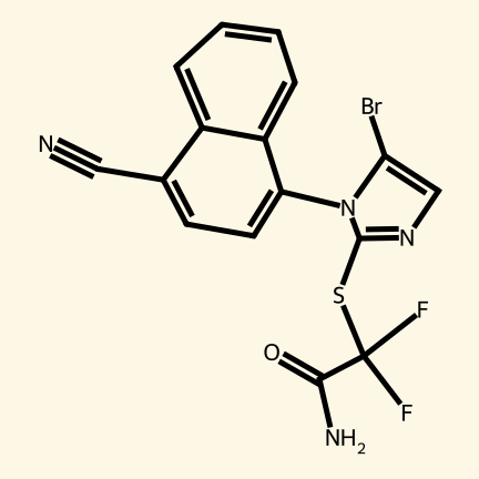 N#Cc1ccc(-n2c(Br)cnc2SC(F)(F)C(N)=O)c2ccccc12